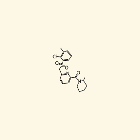 Cc1cccc(S(=O)(=O)Cc2cccc(C(=O)N3CCCCC3C)n2)c1Cl